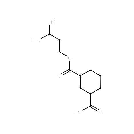 CC(C)CCOC(=O)C1CCCC(C(=O)O)C1